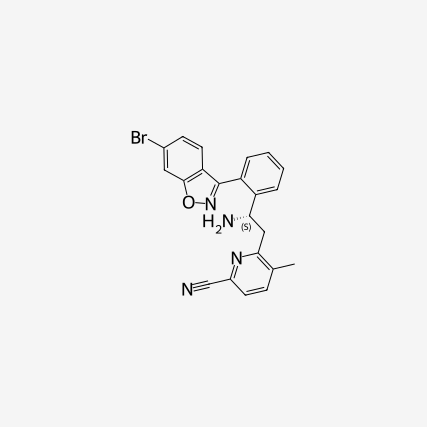 Cc1ccc(C#N)nc1C[C@H](N)c1ccccc1-c1noc2cc(Br)ccc12